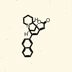 O=C1C=C2C=C(c3ccc4ccccc4c3)[C@@H]3C[C@@]2(O1)[C@H]1CCCCN31